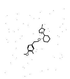 COc1ccc(CCO[C@H]2CCCCC2N2CC[C@@H](C)C2)cc1C